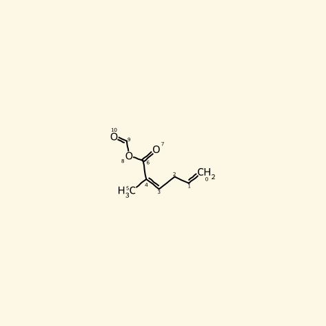 C=CCC=C(C)C(=O)OC=O